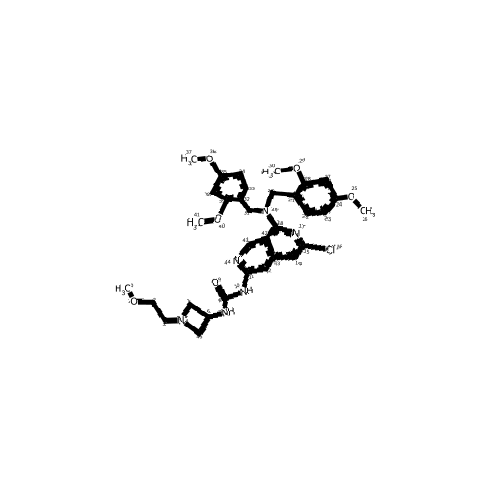 COCCN1CC(NC(=O)Nc2cc3cc(Cl)nc(N(Cc4ccc(OC)cc4OC)Cc4ccc(OC)cc4OC)c3cn2)C1